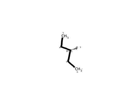 [CH2]C[C@@H](F)CC